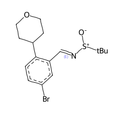 CC(C)(C)[S+]([O-])/N=C/c1cc(Br)ccc1C1CCOCC1